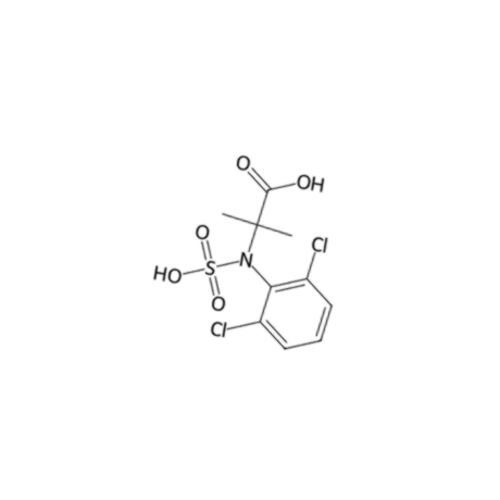 CC(C)(C(=O)O)N(c1c(Cl)cccc1Cl)S(=O)(=O)O